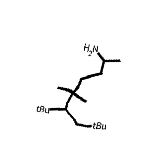 CC(N)CCC(C)(C)C(CC(C)(C)C)C(C)(C)C